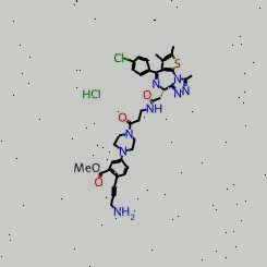 COC(=O)c1cc(N2CCN(C(=O)CCNC(=O)C[C@@H]3N=C(c4ccc(Cl)cc4)c4c(sc(C)c4C)-n4c(C)nnc43)CC2)ccc1C#CCN.Cl